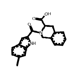 Cc1ccc2cc(C(=O)N3Cc4ccccc4CC3C(=O)O)[nH]c2c1